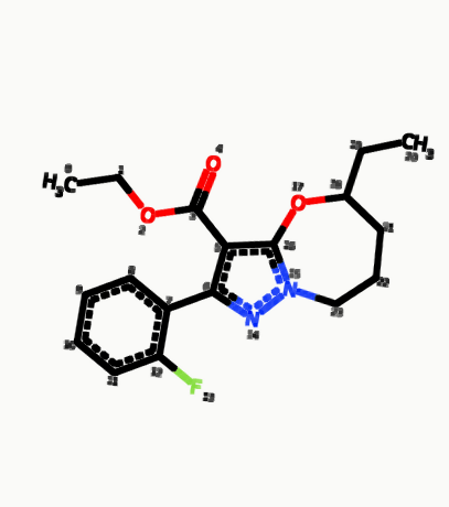 CCOC(=O)c1c(-c2ccccc2F)nn2c1OC(CC)CCC2